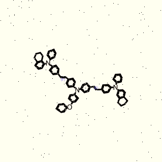 C(=C\c1ccc(N(c2ccccc2)c2ccc3c(c2)CCCC3)cc1)/c1ccc(N(c2ccc(/C=C/c3ccc(N(c4ccccc4)c4cccc5c4CCCC5)cc3)cc2)c2ccc(Oc3ccccc3)cc2)cc1